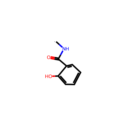 [CH2]NC(=O)c1ccccc1O